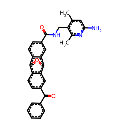 Cc1cc(N)nc(C)c1CNC(=O)c1ccc2c(c1)c1oc2c2ccc(C(=O)c3ccccc3)cc21